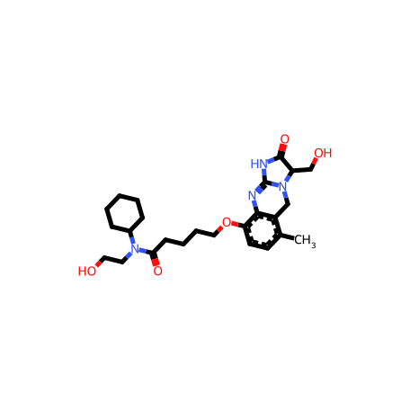 Cc1ccc(OCCCCC(=O)N(CCO)C2CCCCC2)c2c1CN1C(=N2)NC(=O)C1CO